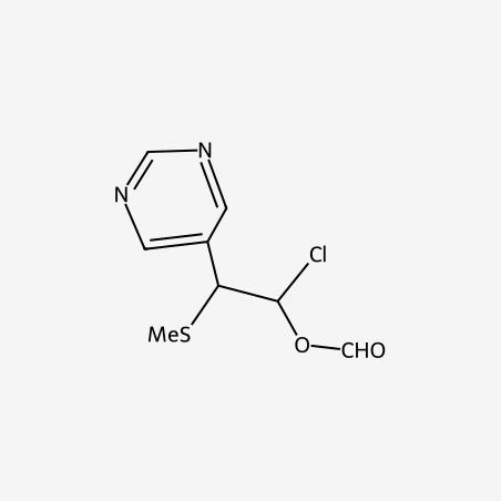 CSC(c1cncnc1)C(Cl)OC=O